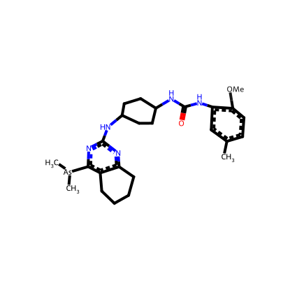 COc1ccc(C)cc1NC(=O)NC1CCC(Nc2nc3c(c([As](C)C)n2)CCCC3)CC1